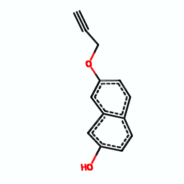 C#CCOc1ccc2ccc(O)cc2c1